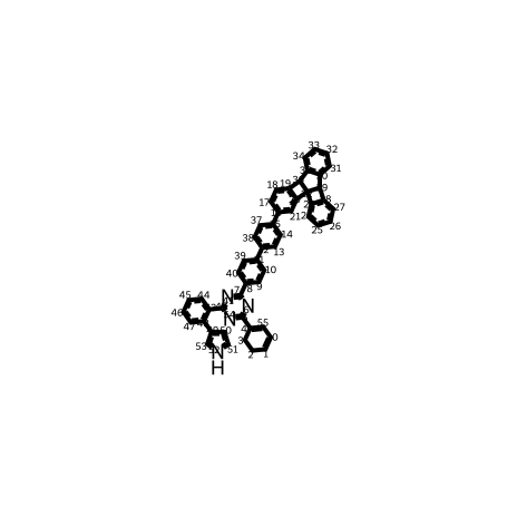 C1=CCCC(c2nc(-c3ccc(-c4ccc(-c5ccc6c(c5)C57c8ccccc8C5c5ccccc5C67)cc4)cc3)nc(-c3ccccc3-c3cc[nH]c3)n2)=C1